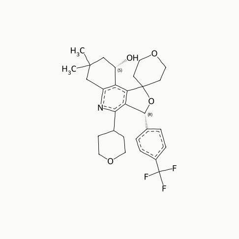 CC1(C)Cc2nc(C3CCOCC3)c3c(c2[C@@H](O)C1)C1(CCOCC1)O[C@@H]3c1ccc(C(F)(F)F)cc1